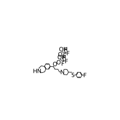 O=C(CCCN1CCC(CSc2ccc(F)cc2)CC1)c1ccc2c(c1)CCNCC2.O=C(O)C(F)(F)F.O=C(O)C(F)(F)F